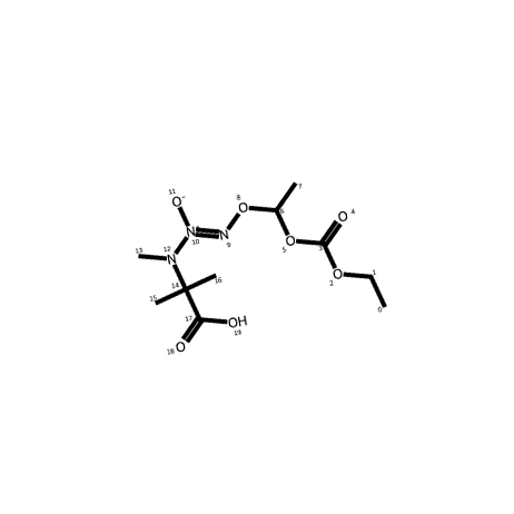 CCOC(=O)OC(C)O/N=[N+](\[O-])N(C)C(C)(C)C(=O)O